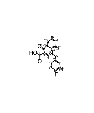 O=C(O)c1cn(Cc2ccc(F)c(F)c2)c2c(F)cccc2c1=O